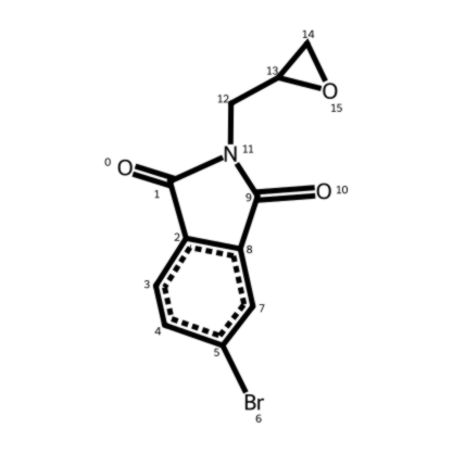 O=C1c2ccc(Br)cc2C(=O)N1CC1CO1